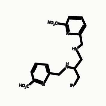 CC(C)CC(CNCc1cccc(C(=O)O)n1)NCc1cccc(C(=O)O)n1